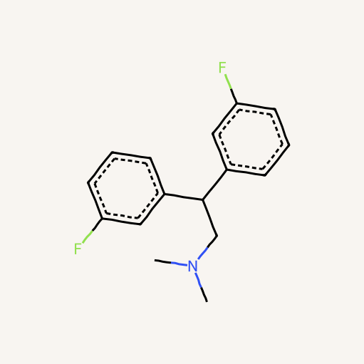 CN(C)CC(c1cccc(F)c1)c1cccc(F)c1